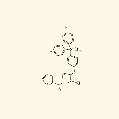 CS(c1ccc(F)cc1)(c1ccc(F)cc1)c1ccc(Sc2ccc(C(=O)c3ccccc3)cc2Cl)cc1